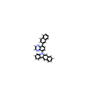 c1ccc2cc(-c3ccc(-n4c5ccccc5c5cc6ccccc6cc54)c4nccnc34)ccc2c1